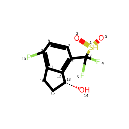 O=[SH](=O)C(F)(F)c1ccc(F)c2c1[C@H](O)CC2